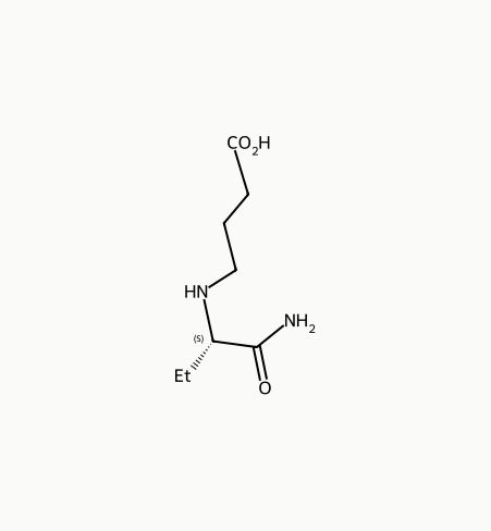 CC[C@H](NCCCC(=O)O)C(N)=O